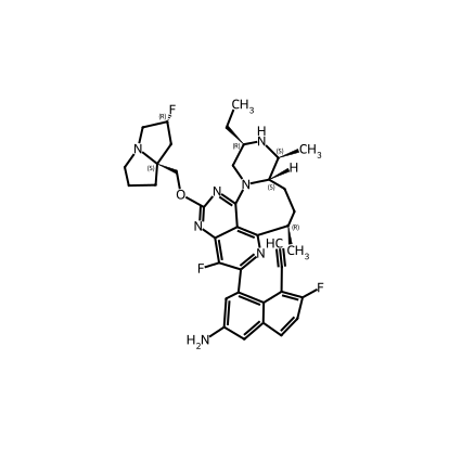 C#Cc1c(F)ccc2cc(N)cc(-c3nc4c5c(nc(OC[C@@]67CCCN6C[C@H](F)C7)nc5c3F)N3C[C@@H](CC)N[C@@H](C)[C@@H]3CC[C@H]4C)c12